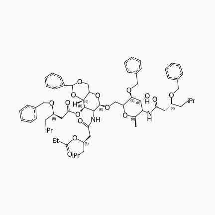 CCC(=O)O[C@@H](CC(=O)NC1[C@H](OCC2O[C@H](C)C(NC(=O)C[C@@H](CC(C)C)OCc3ccccc3)[C@@H](O)[C@@H]2OCc2ccccc2)OC2COC(c3ccccc3)O[C@H]2[C@@H]1OC(=O)C[C@@H](CC(C)C)OCc1ccccc1)CC(C)C